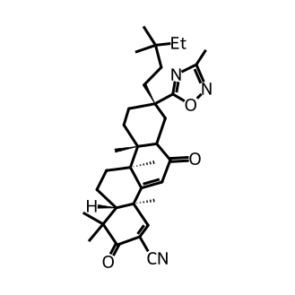 CCC(C)(C)CC[C@]1(c2nc(C)no2)CC[C@]2(C)C(C1)C(=O)C=C1[C@@]3(C)C=C(C#N)C(=O)C(C)(C)[C@@H]3CC[C@]12C